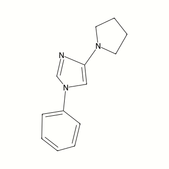 c1ccc(-n2cnc(N3CCCC3)c2)cc1